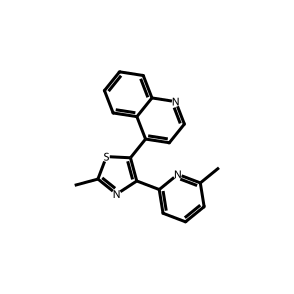 Cc1cccc(-c2nc(C)sc2-c2ccnc3ccccc23)n1